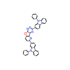 c1ccc(-n2c3ccccc3c3ccc(-c4ccc5oc6nnc(-c7ccc8c9ccccc9n(-c9ccccc9)c8c7)nc6c5n4)cc32)cc1